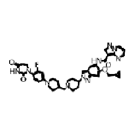 O=C1CCN(c2ccc(N3CCC(CN4CCC(n5cc6cc(NC(=O)c7cnn8cccnc78)c(OCC7CC7)cc6n5)CC4)CC3)cc2F)C(=O)N1